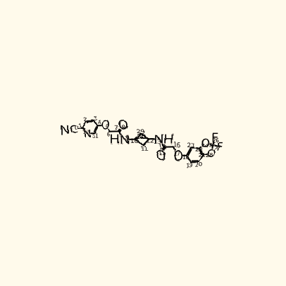 N#Cc1ccc(OCC(=O)NC23CC(NC(=O)COc4ccc5c(c4)OC(F)(F)O5)(C2)C3)cn1